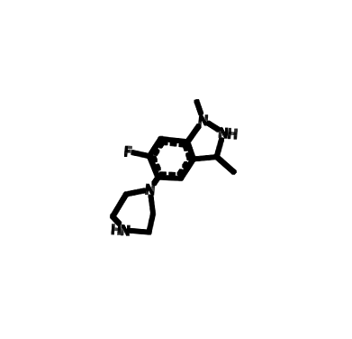 CC1NN(C)c2cc(F)c(N3CCNCC3)cc21